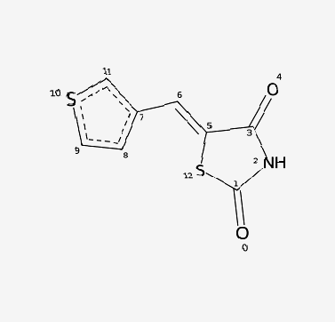 O=C1NC(=O)/C(=C/c2ccsc2)S1